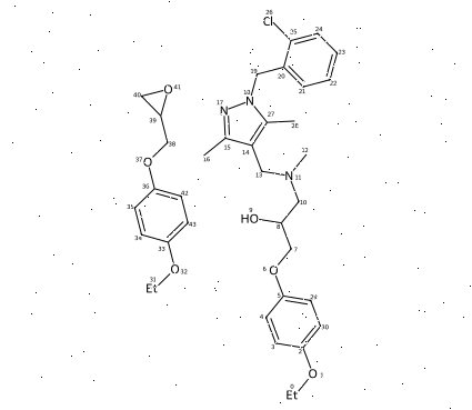 CCOc1ccc(OCC(O)CN(C)Cc2c(C)nn(Cc3ccccc3Cl)c2C)cc1.CCOc1ccc(OCC2CO2)cc1